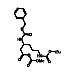 COC(=O)OC(=O)CC(CCCNC(=O)OC(C)(C)C)NC(=O)OCc1ccccc1